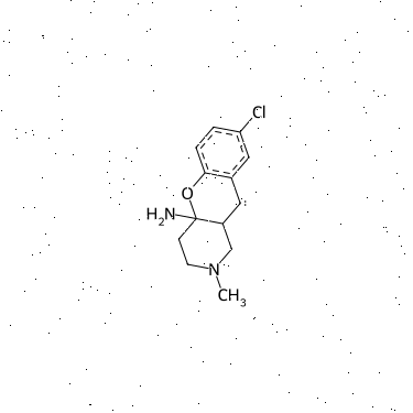 CN1CCC2(N)Oc3ccc(Cl)cc3[C]C2C1